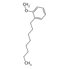 [CH2]Oc1ccccc1CCCCCCCC